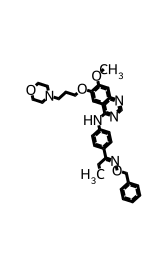 CCC(=NOCc1ccccc1)c1ccc(Nc2ncnc3cc(OC)c(OCCCN4CCOCC4)cc23)cc1